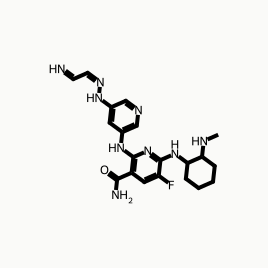 CNC1CCCCC1Nc1nc(Nc2cncc(N/N=C\C=N)c2)c(C(N)=O)cc1F